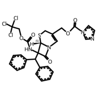 O=C(NC1(C(c2ccccc2)c2ccccc2)C(=O)N2C=C(COC(=O)n3ccnc3)CS[C@H]21)OCC(Cl)(Cl)Cl